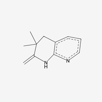 C=C1Nc2ncccc2CC1(C)C